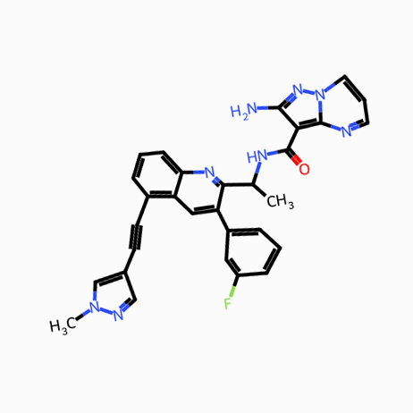 CC(NC(=O)c1c(N)nn2cccnc12)c1nc2cccc(C#Cc3cnn(C)c3)c2cc1-c1cccc(F)c1